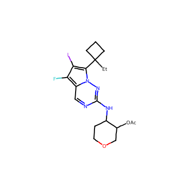 CCC1(c2c(I)c(F)c3cnc(NC4CCOCC4OC(C)=O)nn23)CCC1